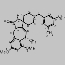 COc1cc2c(c(OC)c1)[C@@H](C)C=C1N(C2)C(=O)NC12CCN(Cc1cc(C)cc(C)c1)CC2